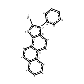 Brc1nc2c3ccc4ccccc4c3ccc2n1-c1ccccc1